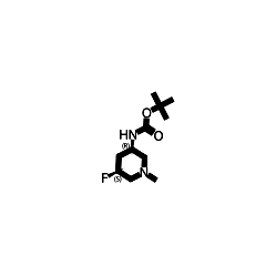 CN1C[C@@H](F)C[C@@H](NC(=O)OC(C)(C)C)C1